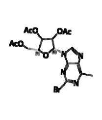 CC(=O)OC[C@H]1O[C@@H](n2cnc3c(C)nc(Br)nc32)C(OC(C)=O)C1OC(C)=O